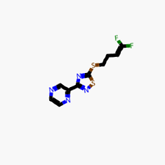 FC(F)=CCCSc1nc(-c2cnccn2)ns1